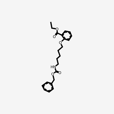 CCOC(=O)c1ccccc1OCCCCCNC(=O)OCc1ccccc1